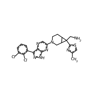 Cc1csc(C2(CN)C3CCN(c4cnc5c(-c6cccc(Cl)c6Cl)n[nH]c5n4)CC32)n1